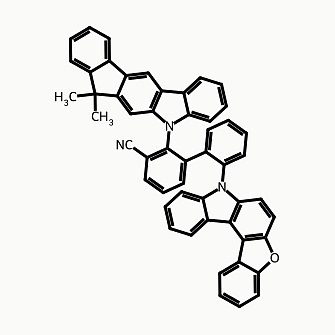 CC1(C)c2ccccc2-c2cc3c4ccccc4n(-c4c(C#N)cccc4-c4ccccc4-n4c5ccccc5c5c6c(ccc54)oc4ccccc46)c3cc21